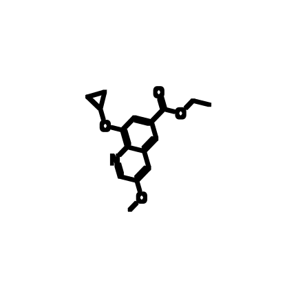 CCOC(=O)c1cc(OC2CC2)c2ncc(OC)cc2c1